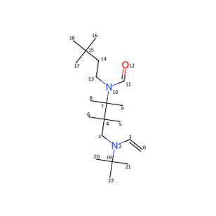 C=CN(CC(C)(C)C(C)(C)N(C=O)CCC(C)(C)C)C(C)(C)C